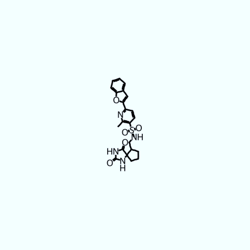 Cc1nc(-c2cc3ccccc3o2)ccc1S(=O)(=O)NCC1CCCC12NC(=O)NC2=O